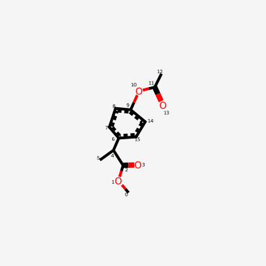 COC(=O)C(C)c1ccc(OC(C)=O)cc1